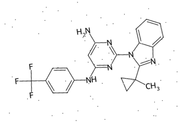 CC1(c2nc3ccccc3n2-c2nc(N)cc(Nc3ccc(C(F)(F)F)cc3)n2)CC1